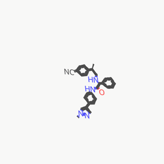 C[C@@H](CN[C@H](C(=O)Nc1ccc(-c2cnn(C)c2)cc1)c1ccccc1)c1ccc(C#N)cc1